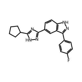 Fc1ccc(-c2n[nH]c3ccc(-c4n[nH]c(C5CCCC5)n4)cc23)cc1